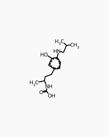 CC(C)CNc1ccc(CCC(C)NC(=O)O)cc1O